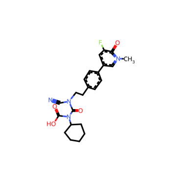 Cn1cc(-c2ccc(CCN(C#N)C(=O)N(C(=O)O)C3CCCCC3)cc2)cc(F)c1=O